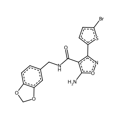 Nc1onc(-c2ccc(Br)s2)c1C(=O)NCc1ccc2c(c1)OCO2